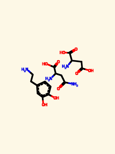 NC(=O)CC(N)C(=O)O.NC(CC(=O)O)C(=O)O.NCCc1ccc(O)c(O)c1